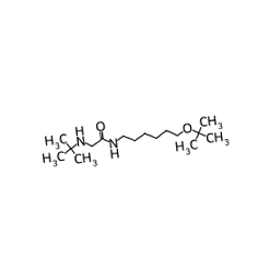 CC(C)(C)NCC(=O)NCCCCCCOC(C)(C)C